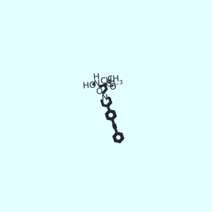 C[S+]([O-])C(C)(CCN1CC=C(c2ccc(C#Cc3ccccc3)cc2)CC1)C(=O)NO